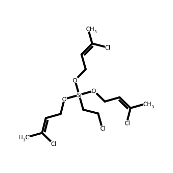 CC(Cl)=CCO[Si](CCCl)(OCC=C(C)Cl)OCC=C(C)Cl